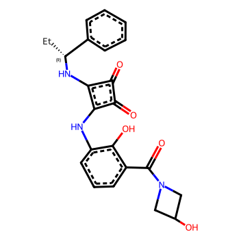 CC[C@@H](Nc1c(Nc2cccc(C(=O)N3CC(O)C3)c2O)c(=O)c1=O)c1ccccc1